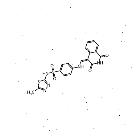 Cc1nnc(NS(=O)(=O)c2ccc(N/C=C3\C(=O)NC(=O)c4ccccc43)cc2)s1